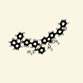 CN1c2ccccc2N(c2ccc3c(c2)C(C)(C)c2cc(-c4ccc5oc6ccccc6c5c4)ccc2-3)c2ccc(-c3ccc(N(c4ccccc4)c4cccc5ccccc45)cc3)cc21